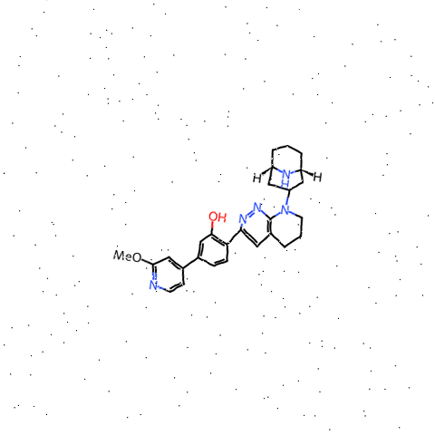 COc1cc(-c2ccc(-c3cc4c(nn3)N(C3C[C@H]5CCC[C@@H](C3)N5)CCC4)c(O)c2)ccn1